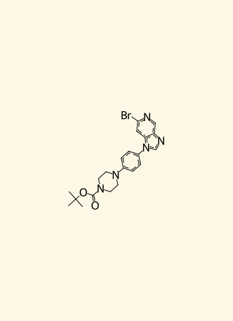 CC(C)(C)OC(=O)N1CCN(c2ccc(-n3cnc4cnc(Br)cc43)cc2)CC1